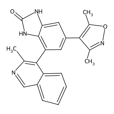 Cc1noc(C)c1-c1cc(-c2c(C)ncc3ccccc23)c2[nH]c(=O)[nH]c2c1